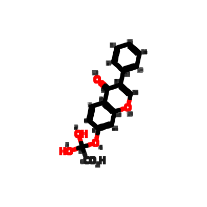 O=C(O)C(O)(O)Oc1ccc2c(=O)c(-c3ccccc3)coc2c1